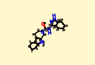 Cn1c2c(c3ccccc31)CCN(C(=O)Nc1n[nH]c3ccccc13)C2